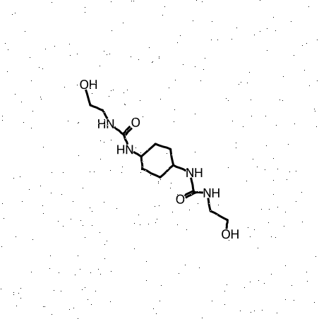 O=C(NCCO)NC1CCC(NC(=O)NCCO)CC1